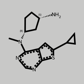 CN(c1ncnc2sc(C3CC3)cc12)[C@@H]1CC[C@H](N)C1